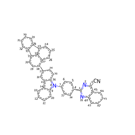 N#Cc1nc(-c2ccc(-n3c4ccccc4c4cc(-c5ccc6c7c(cccc57)-c5ccccc5-6)ccc43)cc2)nc2ccccc12